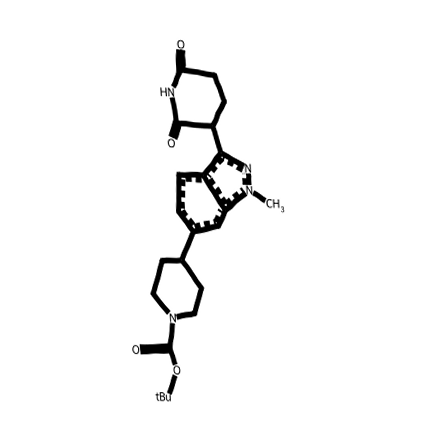 Cn1nc(C2CCC(=O)NC2=O)c2ccc(C3CCN(C(=O)OC(C)(C)C)CC3)cc21